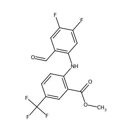 COC(=O)c1cc(C(F)(F)F)ccc1Nc1cc(F)c(F)cc1C=O